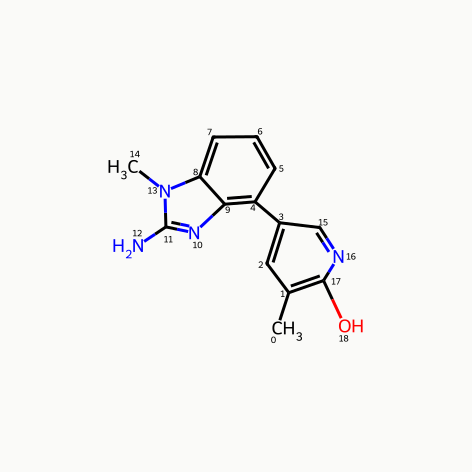 Cc1cc(-c2cccc3c2nc(N)n3C)cnc1O